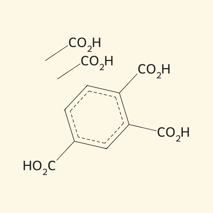 CC(=O)O.CC(=O)O.O=C(O)c1ccc(C(=O)O)c(C(=O)O)c1